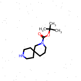 CC(C)(C)OC(=O)N1CCCC2(CCNCC2)C1